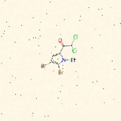 CCn1c(C(=O)C(Cl)Cl)cc(Br)c1Br